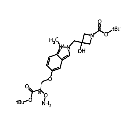 C[n+]1c2ccc(OC[C@H](ON)C(=O)OC(C)(C)C)cc2cn1CC1(O)CN(C(=O)OC(C)(C)C)C1